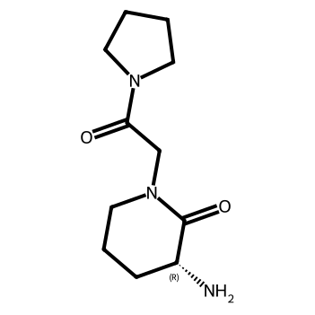 N[C@@H]1CCCN(CC(=O)N2CCCC2)C1=O